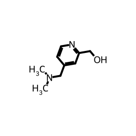 CN(C)Cc1ccnc(CO)c1